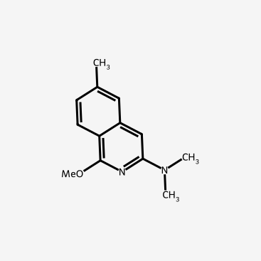 COc1nc(N(C)C)cc2cc(C)ccc12